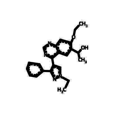 CCOc1cc2ncnc(-c3cn(CC)nc3-c3ccccc3)c2cc1C(C)O